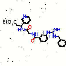 CCOC(=O)CC(NC(=O)CNC(=O)c1cccc(NC(=N)NCc2ccccc2)c1)c1cccnc1